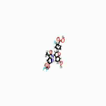 COC(=O)c1ccc([C@H]2C[C@@H](NC(=O)C3(c4ccc5c(c4)OC(F)(F)O5)CC3)c3ccc(OC)cc3O2)cc1F